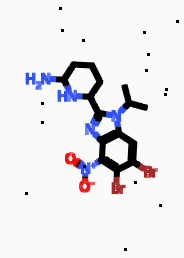 CC(C)n1c(C2CCCC(N)N2)nc2c([N+](=O)[O-])c(Br)c(Br)cc21